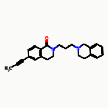 CC#Cc1ccc2c(c1)CCN(CCCN1CCc3ccccc3C1)C2=O